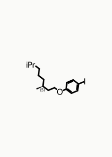 CC(C)CCC[C@H](C)CCOc1ccc(I)cc1